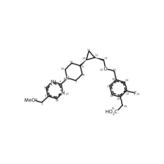 COCc1cnc(N2CCC([C@H]3C[C@H]3COCc3ccc(CC(=O)O)c(F)c3)CC2)nc1